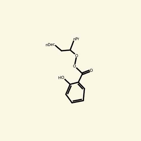 CCCCCCCCCCCC(CCC)OOC(=O)c1ccccc1O